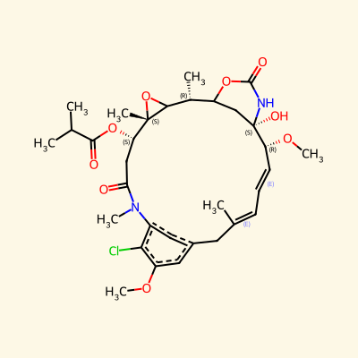 COc1cc2cc(c1Cl)N(C)C(=O)C[C@H](OC(=O)C(C)C)[C@]1(C)OC1[C@H](C)C1C[C@@](O)(NC(=O)O1)[C@H](OC)/C=C/C=C(\C)C2